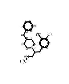 CNCC(Cc1ccc(Cl)c(Cl)c1)N1CCC(Cc2ccccc2)CC1